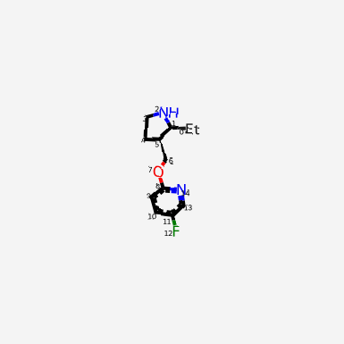 CCC1NCC[C@@H]1COc1ccc(F)cn1